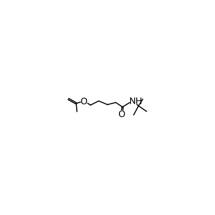 C=C(C)OCCCCC(=O)NC(C)(C)C